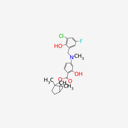 CN(Cc1cc(F)cc(Cl)c1O)c1ccc(C(=O)OC2CC3CCC2(C)C3(C)C)c(O)c1